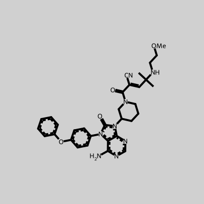 COCCNC(C)(C)C=C(C#N)C(=O)N1CCCC(n2c(=O)n(-c3ccc(Oc4ccccc4)cc3)c3c(N)ncnc32)C1